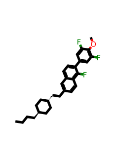 CCCC[C@H]1CC[C@H](CCc2ccc3c(F)c(-c4cc(F)c(OC)c(F)c4)ccc3c2)CC1